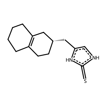 S=c1[nH]cc(C[C@@H]2CCC3=C(CCCC3)C2)[nH]1